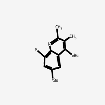 CCCCc1c(C)c(C)nc2c(F)cc(C(C)(C)C)cc12